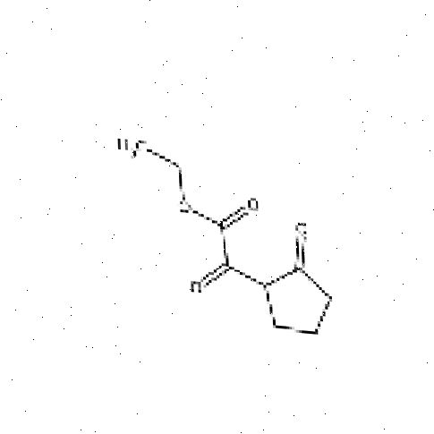 CCOC(=O)C(=O)C1CCCC1=O